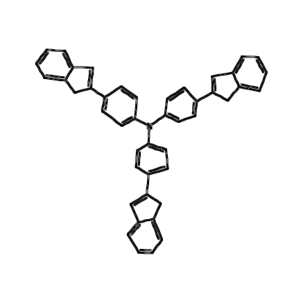 C1=C(c2ccc(N(c3ccc(C4=Cc5ccccc5C4)cc3)c3ccc(C4=Cc5ccccc5C4)cc3)cc2)Cc2ccccc21